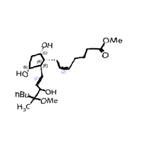 CCCCC(C)(OC)C(O)/C=C/[C@@H]1[C@@H](C/C=C\CCCC(=O)OC)[C@@H](O)C[C@H]1O